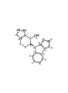 OC1c2nncn2CCC1[C@@H]1c2ccccc2-c2cncn21